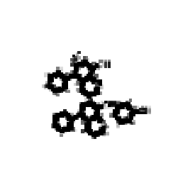 Oc1ccc(-c2ccccc2)c2cccnc12.Oc1ccc(-c2ccccc2)c2cccnc12.Oc1ccccc1.[Al]